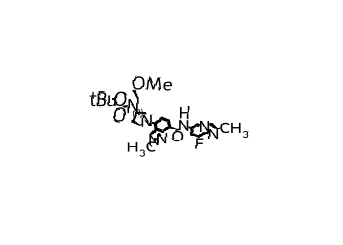 COCCN(C(=O)OC(C)(C)C)[C@@H]1CCN(c2ccc(C(=O)Nc3cc(F)c4nc(C)cn4c3)c3nn(C)cc23)C1